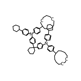 c1cc(N(c2ccc(C3CCCCC3)cc2)c2ccc(C3(c4ccc(N(c5ccc(C6CCCCCCCCCCC6)cc5)c5ccc(C6CCCCC6)cc5)cc4)CCCCC3)cc2)ccc1C1CCCCCCCCCCC1